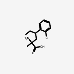 CCC(CC(C)(N)C(=O)O)c1ccccc1Cl